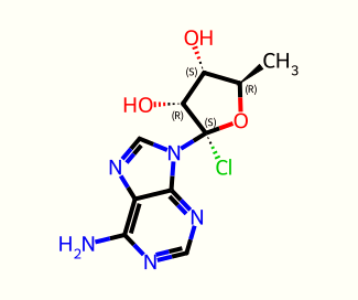 C[C@H]1O[C@@](Cl)(n2cnc3c(N)ncnc32)[C@H](O)[C@@H]1O